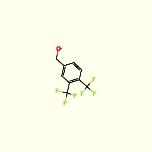 [O]Cc1ccc(C(F)(F)F)c(C(F)(F)F)c1